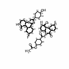 CC(=O)OC1CCC(C(=O)Cn2c(=O)c3ccc(F)cc3c3c(=O)[nH]ccc32)CC1.O=c1[nH]ccc2c1c1cc(F)ccc1c1nc(C3CCC(O)CC3)cn21